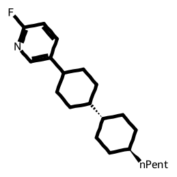 CCCCC[C@H]1CC[C@H](C2CCC(c3ccc(F)nc3)CC2)CC1